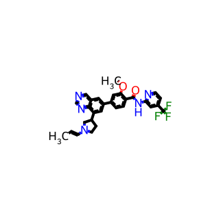 CC=CN1CCC(c2cc(-c3ccc(C(=O)Nc4cc(C(F)(F)F)ccn4)c(OC)c3)cc3cncnc23)C1